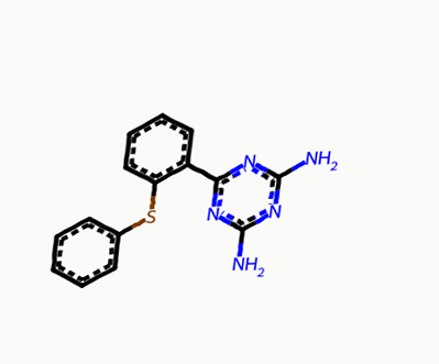 Nc1nc(N)nc(-c2ccccc2Sc2ccccc2)n1